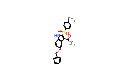 Cc1ccc(S(=O)(=O)c2[nH]c3ccc(OCc4ccccc4)cc3c2C(=O)C(F)(F)F)cc1